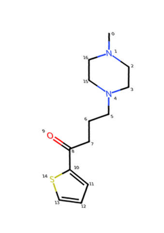 CN1CCN(CCCC(=O)c2cccs2)CC1